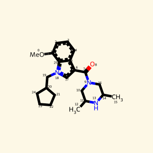 COc1cccc2c(C(=O)N3CC(C)NC(C)C3)cn(CC3CCCC3)c12